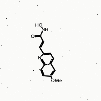 COc1ccc2nc(C=CC(=O)NO)ccc2c1